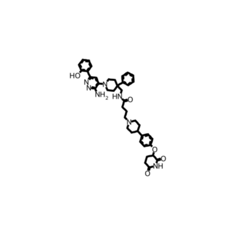 Nc1nnc(-c2ccccc2O)cc1N1CCC(CNC(=O)CCCN2CCC(c3ccc(OC4CCC(=O)NC4=O)cc3)CC2)(c2ccccc2)CC1